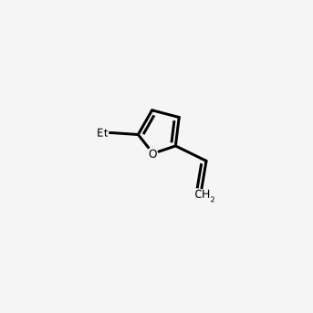 C=Cc1ccc(CC)o1